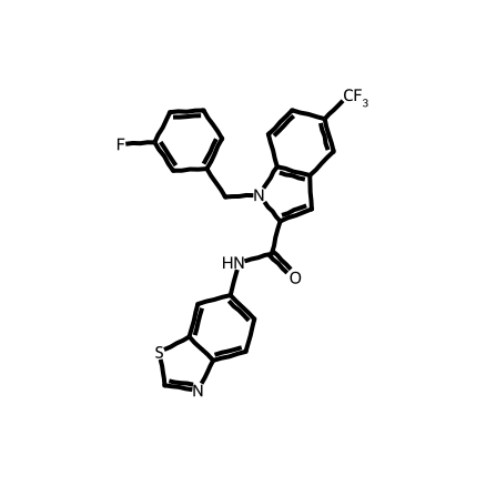 O=C(Nc1ccc2ncsc2c1)c1cc2cc(C(F)(F)F)ccc2n1Cc1cccc(F)c1